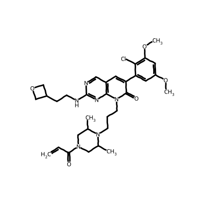 C=CC(=O)N1CC(C)N(CCCn2c(=O)c(-c3cc(OC)cc(OC)c3Cl)cc3cnc(NCCC4COC4)nc32)C(C)C1